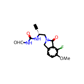 C#C[C@H](CN1Cc2ccc(OC)c(F)c2C1=O)NC(=O)NC=O